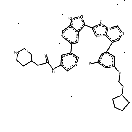 O=C(CC1CCNCC1)Nc1cncc(-c2cc3c(-c4nc5c(-c6cc(F)cc(OCCN7CCCC7)c6)cncc5[nH]4)n[nH]c3cn2)c1